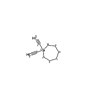 C#C[Si]1(C#C)CCCCCC1